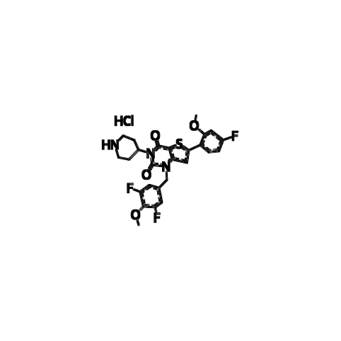 COc1cc(F)ccc1-c1cc2c(s1)c(=O)n(C1CCNCC1)c(=O)n2Cc1cc(F)c(OC)c(F)c1.Cl